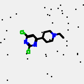 CCN1CCC(c2cc(Cl)nc(Cl)n2)CC1